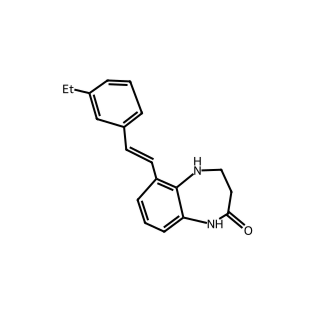 CCc1cccc(/C=C/c2cccc3c2NCCC(=O)N3)c1